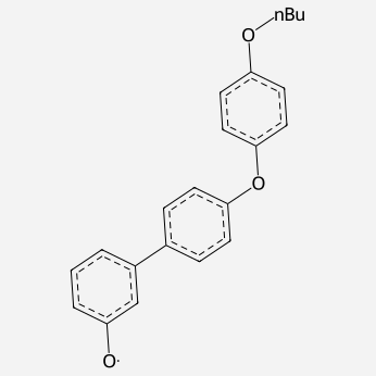 CCCCOc1ccc(Oc2ccc(-c3cccc([O])c3)cc2)cc1